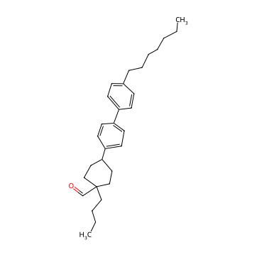 CCCCCCCc1ccc(-c2ccc(C3CCC(C=O)(CCCC)CC3)cc2)cc1